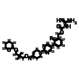 CC(C)(CON=C1CCN(c2ncc(-c3cccc(COC(=O)NC(=N)N)c3F)cn2)CC1)COC1CCCCO1